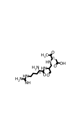 CC(=O)[C@H](CC(=O)O)NCC(C=O)NC(=O)[C@@H](N)CCCNC(=N)N